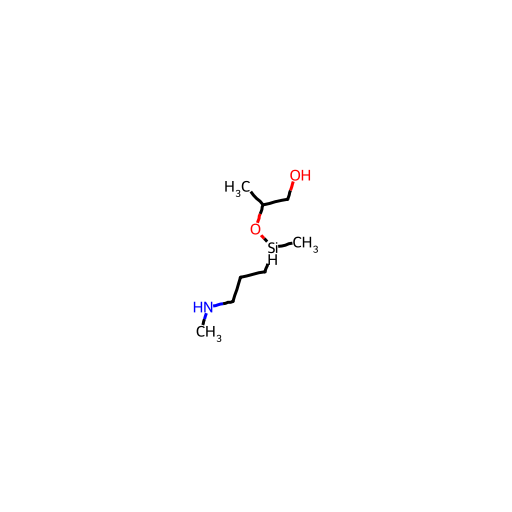 CNCCC[SiH](C)OC(C)CO